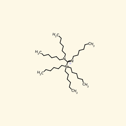 CCCCCC/N=C(\N(CCCCCC)CCCCCC)[N+](CCCCCC)(CCCCCC)CCCCCC